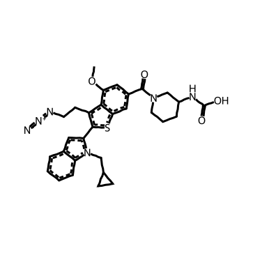 COc1cc(C(=O)N2CCCC(NC(=O)O)C2)cc2sc(-c3cc4ccccc4n3CC3CC3)c(CCN=[N+]=[N-])c12